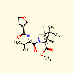 COC(=O)[C@@H]1[C@@H]2[C@H](CN1C(=O)[C@@H](NC(=O)[C@H]1CCOC1)C(C)C)C2(C)C